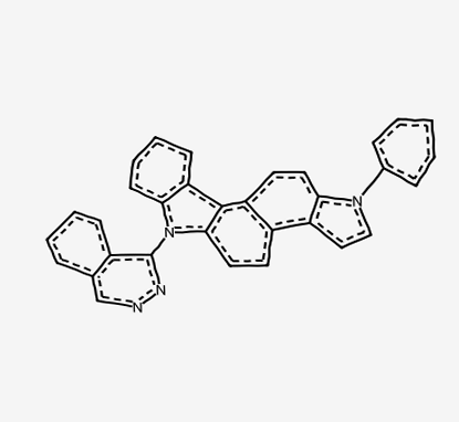 c1ccc(-n2ccc3c4ccc5c(c4ccc32)c2ccccc2n5-c2nncc3ccccc23)cc1